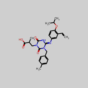 C=Cc1cc(N=c2[nH]c(=O)n(CC(C)C(=O)O)c(=O)n2Cc2ccc(C)cc2)ccc1OC(C)C